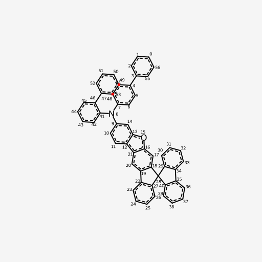 c1ccc(-c2ccc(N(c3ccc4c(c3)oc3cc5c(cc34)-c3ccccc3C53c4ccccc4-c4ccccc43)c3ccccc3-c3ccccc3)cc2)cc1